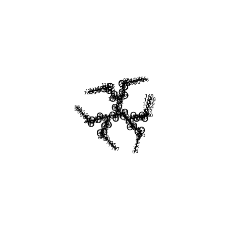 CCCCCCCCSC(C)C(=O)OCCOC(=O)CCN(CCOC(=O)c1cc(C(=O)OCCN(CCC(=O)OCCOC(=O)C(C)SCCCCCCCC)CCC(=O)OCCOC(=O)C(C)SCCCCCCCC)cc(C(=O)OCCN(CCC(=O)OCCOC(=O)C(C)SCCCCCCCC)CCC(=O)OCCOC(=O)C(C)SCCCCCCCC)c1)CCC(=O)OCCOC(=O)C(C)SCCCCCCCC